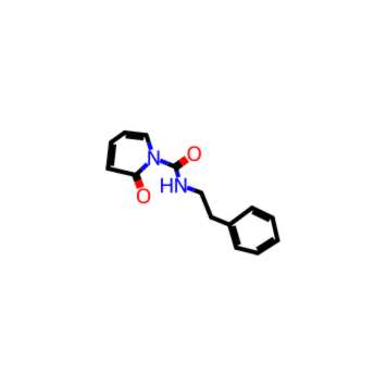 O=C(NCCc1ccccc1)n1ccccc1=O